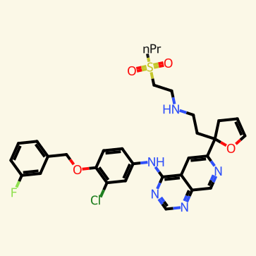 CCCS(=O)(=O)CCNCCC1(c2cc3c(Nc4ccc(OCc5cccc(F)c5)c(Cl)c4)ncnc3cn2)CC=CO1